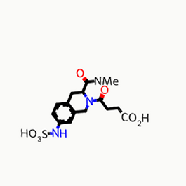 CNC(=O)C1Cc2ccc(NS(=O)(=O)O)cc2CN1C(=O)CCC(=O)O